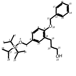 CC(C)[Si](OCc1ccc(OCc2ccccc2)c(CCCO)c1)(C(C)C)C(C)C